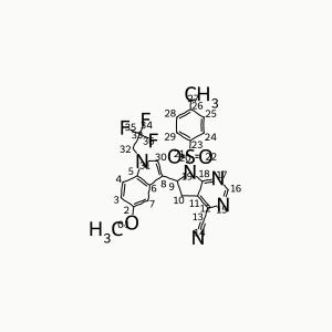 COc1ccc2c(c1)c(C1Cc3c(C#N)ncnc3N1S(=O)(=O)c1ccc(C)cc1)cn2CC(F)(F)F